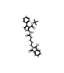 CC(C)(C)OC(=O)c1c(-c2ccccc2)csc1NC(=O)CCCCN1C(=O)c2ccccc2C1=O